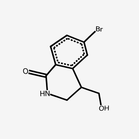 O=C1NCC(CO)c2cc(Br)ccc21